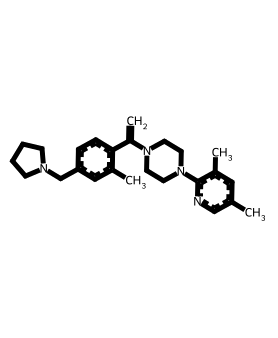 C=C(c1ccc(CN2CCCC2)cc1C)N1CCN(c2ncc(C)cc2C)CC1